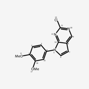 COc1ccc(-n2ccc3cnc(Cl)nc32)cc1OC